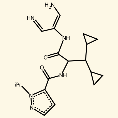 CC(C)n1nccc1C(=O)NC(C(=O)N/C(C=N)=C/N)C(C1CC1)C1CC1